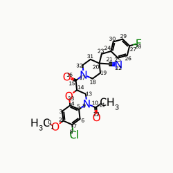 COc1cc2c(cc1Cl)N(C(C)=O)CC(C(=O)N1CCC(C#N)(Cc3ccc(F)cc3)CC1)O2